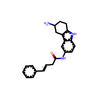 NC1CCc2[nH]c3ccc(NC(=O)C/C=C/c4ccccc4)cc3c2C1